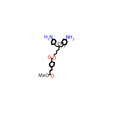 [CH2]C(CCCCOC(=O)c1ccc(/C=C/C(=O)OC)cc1)(Cc1ccc(N)cc1)Cc1ccc(N)cc1